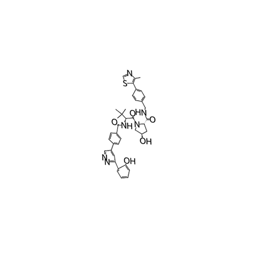 Cc1ncsc1-c1ccc(CNC(=O)[C@@H]2C[C@@H](O)CN2C(=O)[C@@H](NC(=O)c2ccc(-c3cnnc(-c4ccccc4O)c3)cc2)C(C)(C)C)cc1